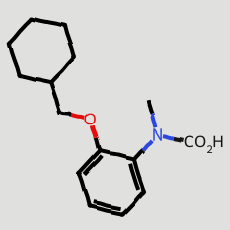 CN(C(=O)O)c1ccccc1OCC1CCCCC1